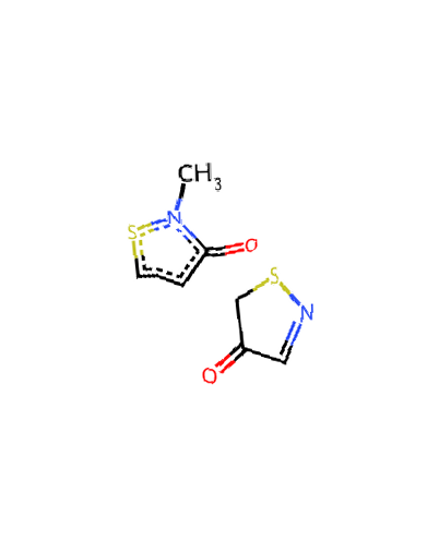 Cn1sccc1=O.O=C1C=NSC1